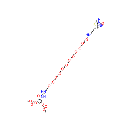 CCOC(=O)COc1cc(OCC(=O)OCC)cc(C(=O)NCCNCCCOCCOCCOCCOCCOCCOCCOCCOCCOCCOCCOCCOCCNCCCCC[C@@H]2SC[C@@H]3NC(=O)N[C@@H]32)c1